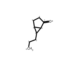 CCCC1C2CCC(=O)C12